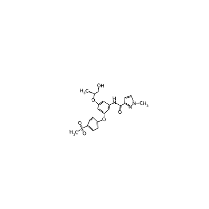 C[C@@H](CO)Oc1cc(NC(=O)c2ccn(C)n2)cc(Oc2ccc(S(C)(=O)=O)cc2)c1